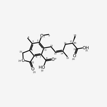 COc1c(C)c2c(c(C(=O)O)c1CC=C(C)C[C@@H](C)C(=O)O)C(=O)OC2